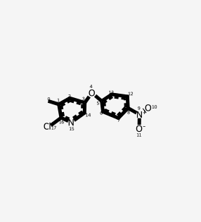 Cc1cc(Oc2ccc([N+](=O)[O-])cc2)cnc1Cl